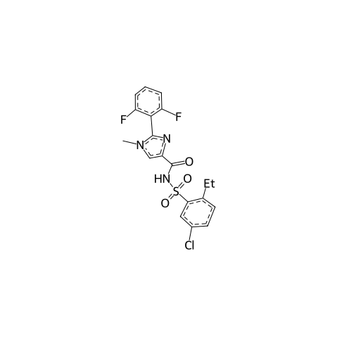 CCc1ccc(Cl)cc1S(=O)(=O)NC(=O)c1cn(C)c(-c2c(F)cccc2F)n1